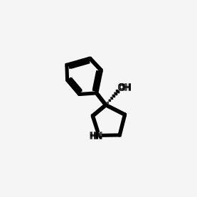 O[C@]1(c2ccccc2)CCNC1